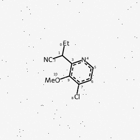 CCC(C#N)c1nccc(Cl)c1OC